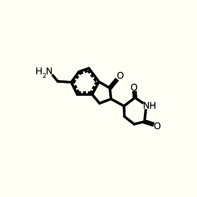 NCc1ccc2c(c1)CC(C1CCC(=O)NC1=O)C2=O